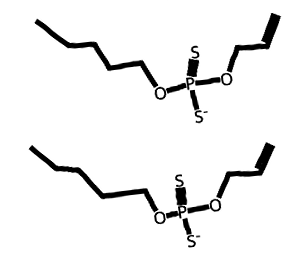 C=CCOP(=S)([S-])OCCCCC.C=CCOP(=S)([S-])OCCCCC.[Zn+2]